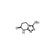 CC(C)(C)c1nnc2n1CCC(=O)N2